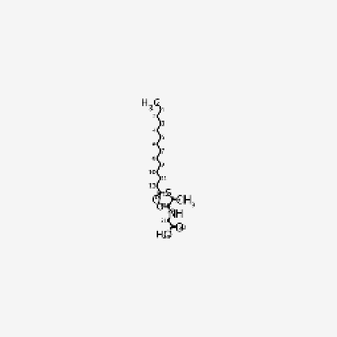 CCCCCCCCCCCCCC(=O)SC(C)C(=O)NCC(=O)O